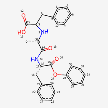 C[C@H](NC(Cc1ccccc1)C(=O)O)C(=O)N[C@@H](Cc1ccccc1)C(=O)Oc1ccccc1